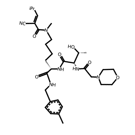 Cc1ccc(CNC(=O)[C@H](CCCCN(C)C(=O)C(C#N)=CC(C)C)NC(=O)[C@@H](NC(=O)CN2CCOCC2)[C@@H](C)O)cc1